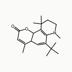 CC1=CC(=O)OC2C3=C(C(C(C)(C)C)=CC12)N(C)CCC3(C)C